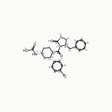 O=C(O)N[C@@H]1CC[C@@H](C(=O)N2C(=O)OC[C@H]2Cc2ccccc2)[C@H](c2ccc(Br)cc2)C1